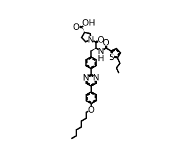 CCCCCCCOc1ccc(-c2cnc(-c3ccc(C[C@H](NC(=O)c4ccc(CCC)s4)C(=O)N4CC[C@H](C(=O)O)C4)cc3)nc2)cc1